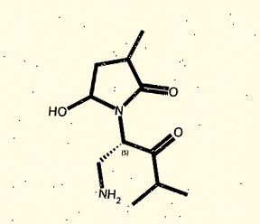 CC(C)C(=O)[C@H](CN)N1C(=O)C(C)CC1O